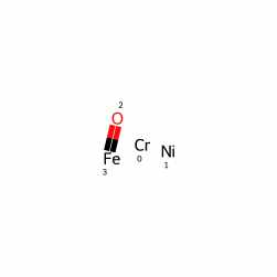 [Cr].[Ni].[O]=[Fe]